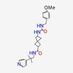 COc1ccc(CNC(=O)NC2CC3(C2)CC(C(=O)NCC(C)(C)c2ccncc2)C3)cc1